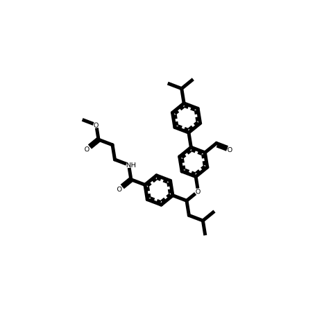 COC(=O)CCNC(=O)c1ccc(C(CC(C)C)Oc2ccc(-c3ccc(C(C)C)cc3)c(C=O)c2)cc1